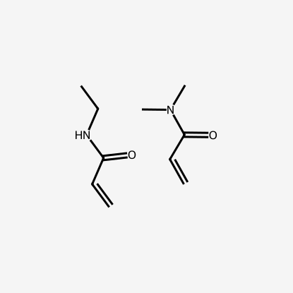 C=CC(=O)N(C)C.C=CC(=O)NCC